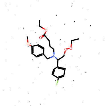 CCOOCC(c1ccc(F)cc1)N(CCCC(=O)OCC)Cc1ccc(OC)cc1